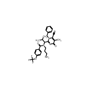 Cc1c(C#N)n(Cc2ccccc2)c(C(C(C)C)N(CCCN)C(=O)c2ccc(OC(F)(F)F)cc2)nc1=O